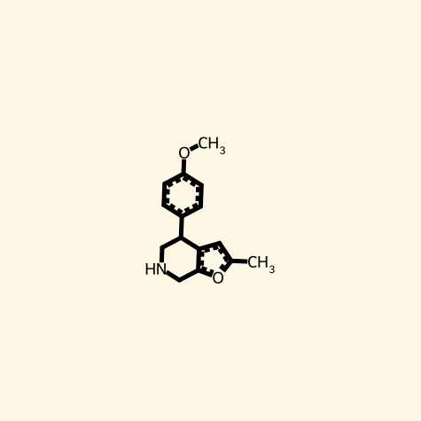 COc1ccc(C2CNCc3oc(C)cc32)cc1